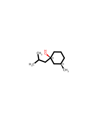 CC(C)C[C@]1(O)CCC[C@@H](C)C1